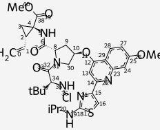 C=C[C@@H]1C[C@]1(NC(=O)[C@@H]1C[C@@H](Oc2cc(-c3csc(NC(C)C)n3)nc3cc(OC)ccc23)CN1C(=O)[C@@H](NCl)C(C)(C)C)C(=O)OC